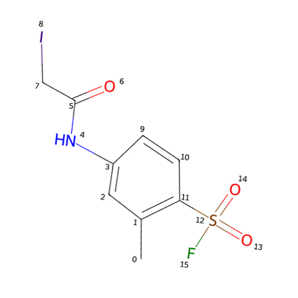 Cc1cc(NC(=O)CI)ccc1S(=O)(=O)F